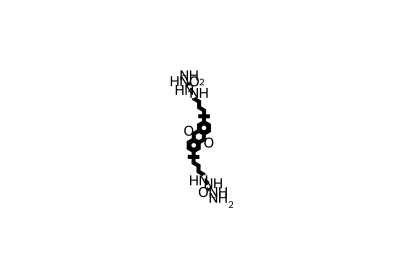 CC(C)(CCCCNNC(=O)NN)c1ccc2c(c1)C(=O)c1ccc(C(C)(C)CCCCNNC(=O)NN)cc1C2=O